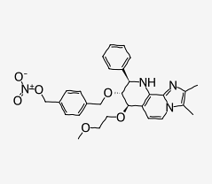 COCCO[C@@H]1c2ccn3c(C)c(C)nc3c2N[C@H](c2ccccc2)[C@H]1OCc1ccc(CO[N+](=O)[O-])cc1